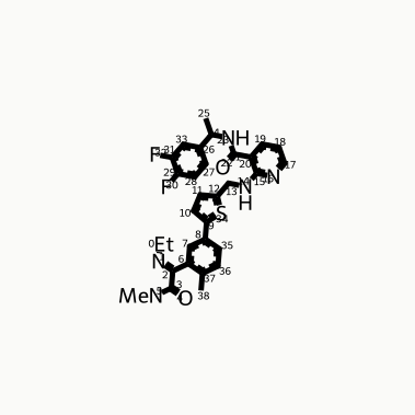 CC/N=C(/C(=O)NC)c1cc(-c2ccc(CNc3ncccc3C(=O)NC(C)c3ccc(F)c(F)c3)s2)ccc1C